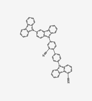 N#Cc1cc(-n2c3ccccc3c3cc(-n4c5ccccc5c5ccccc54)ccc32)ccc1-c1ccc(-n2c3ccccc3c3c(C#N)cccc32)cc1